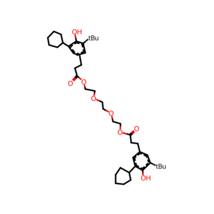 CC(C)(C)c1cc(CCC(=O)OCCOCCOCCOC(=O)CCc2cc(C3CCCCC3)c(O)c(C(C)(C)C)c2)cc(C2CCCCC2)c1O